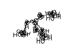 COSP(=O)(O)OCCCCCCOCC(COCCCO[PH](=O)OCCCCCCOC1OC(CO)C(O)C(O)C1NC(C)=O)(COCCCOP(=O)(OCCCCCCOC1OC(CO)C(O)C(O)C1NC(C)=O)SOC)COCCCOP(=O)(OCCCCCCOC(OC(CO)[C@@H](C)O)[C@H](O)NC(C)=O)SOC